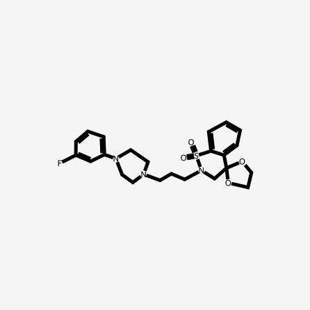 O=S1(=O)c2ccccc2C2(CN1CCCN1CCN(c3cccc(F)c3)CC1)OCCO2